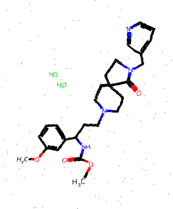 COC(=O)NC(CCN1CCC2(CC1)CCN(Cc1cccnc1)C2=O)c1cccc(OC)c1.Cl.Cl